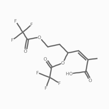 CC(=CC(CCOC(=O)C(F)(F)F)OC(=O)C(F)(F)F)C(=O)O